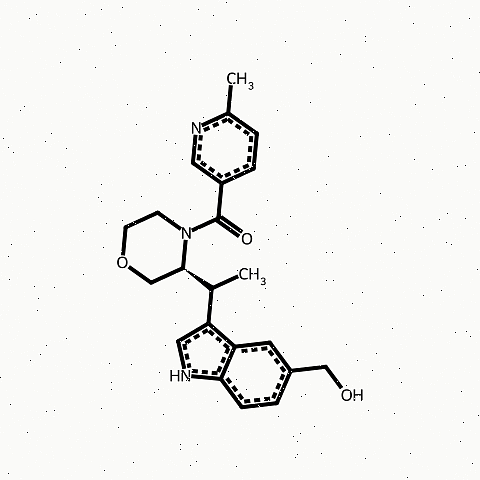 Cc1ccc(C(=O)N2CCOC[C@@H]2C(C)c2c[nH]c3ccc(CO)cc23)cn1